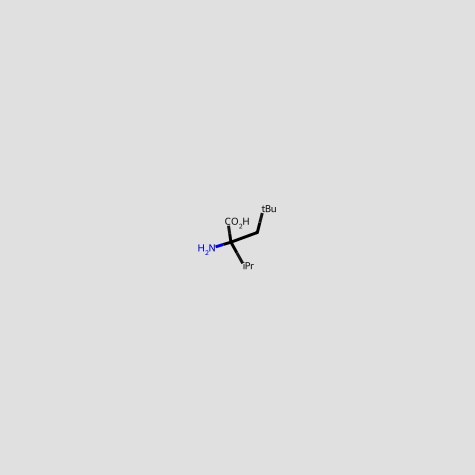 CC(C)C(N)(CC(C)(C)C)C(=O)O